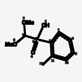 COC(OC)P(=O)(O)c1ccccc1C